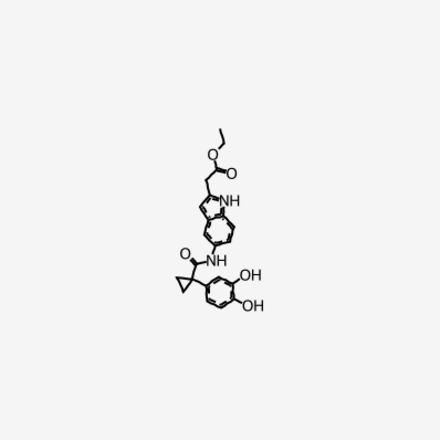 CCOC(=O)Cc1cc2cc(NC(=O)C3(c4ccc(O)c(O)c4)CC3)ccc2[nH]1